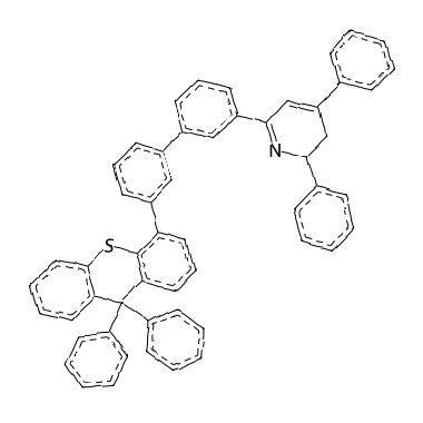 C1=C(c2ccccc2)CC(c2ccccc2)N=C1c1cccc(-c2cccc(-c3cccc4c3Sc3ccccc3C4(c3ccccc3)c3ccccc3)c2)c1